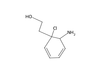 NC1C=CC=CC1(Cl)CCO